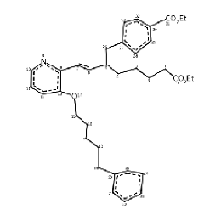 CCOC(=O)CCCCC(/C=C/c1ncccc1OCCCCCc1ccccc1)Cc1ccc(C(=O)OCC)cc1